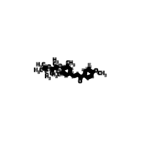 COc1ccc(C(=O)/C=C/c2cc(C)c(OC(C)(C)C(=O)OC(C)(C)C)c(C)c2)cc1F